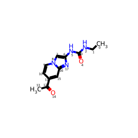 CCNC(=O)Nc1cn2ccc(C(C)=O)cc2n1